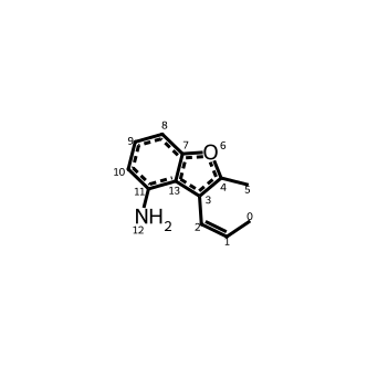 C/C=C\c1c(C)oc2cccc(N)c12